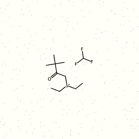 CC[S+](CC)CC(=O)C(C)(C)C.FC(F)F